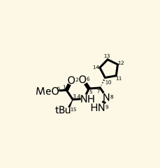 COC(=O)[C@@H](NC(=O)[C@@H](N=N)C1CCCC1)C(C)(C)C